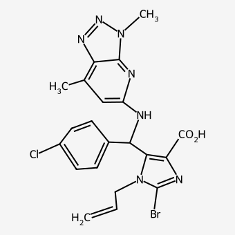 C=CCn1c(Br)nc(C(=O)O)c1C(Nc1cc(C)c2nnn(C)c2n1)c1ccc(Cl)cc1